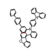 c1ccc(-c2ccc(-c3cccc(N(c4ccc(-n5c6ccccc6c6ccccc65)cc4)c4ccccc4-c4cccc5oc6ccccc6c45)c3)cc2)cc1